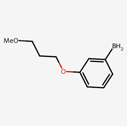 Bc1cccc(OCCCOC)c1